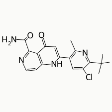 Cc1nc(C(C)(C)C)c(Cl)cc1-c1cc(=O)c2c(C(N)=O)nccc2[nH]1